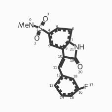 CNS(=O)(=O)c1ccc2c(c1)C(=Cc1cccc(F)c1)C(=O)N2